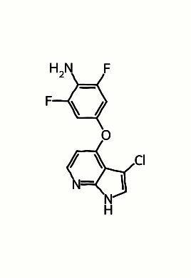 Nc1c(F)cc(Oc2ccnc3[nH]cc(Cl)c23)cc1F